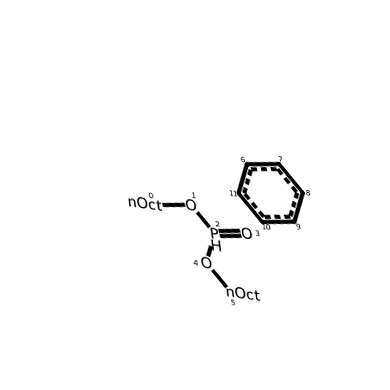 CCCCCCCCO[PH](=O)OCCCCCCCC.c1ccccc1